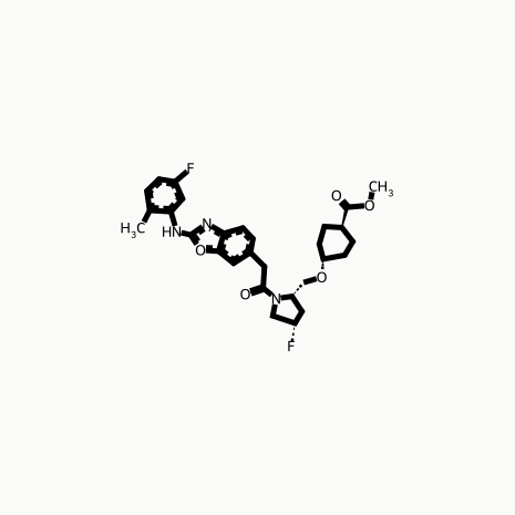 COC(=O)[C@H]1CC[C@H](OC[C@@H]2C[C@H](F)CN2C(=O)Cc2ccc3nc(Nc4cc(F)ccc4C)oc3c2)CC1